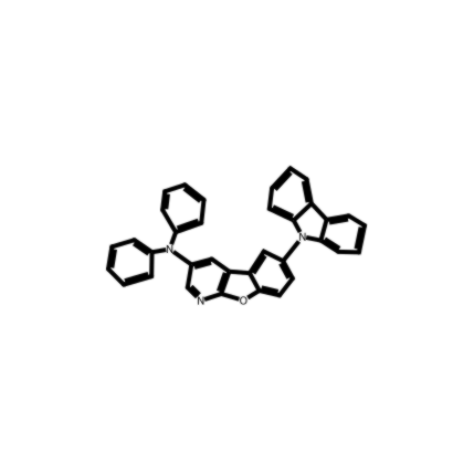 c1ccc(N(c2ccccc2)c2cnc3oc4ccc(-n5c6ccccc6c6ccccc65)cc4c3c2)cc1